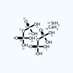 O=P(O)(O)OP(=O)(O)O.O=P(O)(O)OP(=O)(O)O.[CaH2].[SrH2]